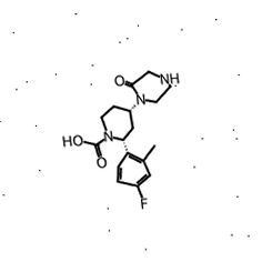 Cc1cc(F)ccc1[C@H]1C[C@@H](N2CCNCC2=O)CCN1C(=O)O